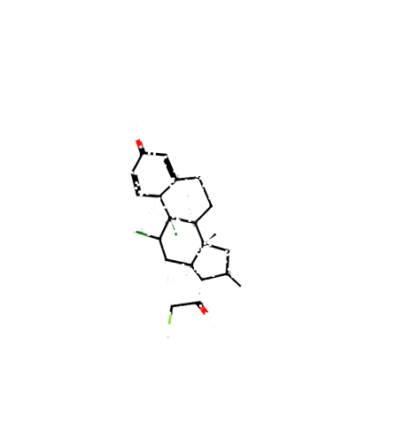 CC1C[C@H]2[C@@H]3CCC4=CC(=O)C=C[C@]4(C)[C@@]3(Cl)C(Cl)C[C@]2(C)[C@H]1C(=O)CF